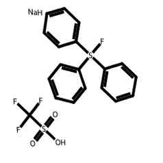 FS(c1ccccc1)(c1ccccc1)c1ccccc1.O=S(=O)(O)C(F)(F)F.[NaH]